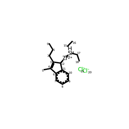 CCCC1=C(C)c2ccccc2[CH]1[Zr+2][SiH](CC)CC.[Cl-].[Cl-]